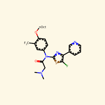 CCCCCCCCOc1ccc(N(C(=O)CN(C)C)c2nc(-c3cccnc3)c(F)s2)cc1C(F)(F)F